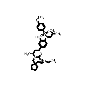 CCOCCC1(CN(C(=O)O)[C@@H](C)CCc2ccc(N(CC(C)C)S(=O)(=O)c3ccc(OC)cc3)c(O)c2)CCCC1